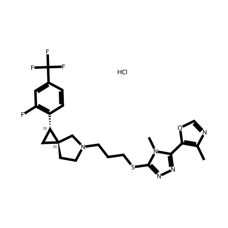 Cc1ncoc1-c1nnc(SCCCN2CC[C@]3(C[C@@H]3c3ccc(C(F)(F)F)cc3F)C2)n1C.Cl